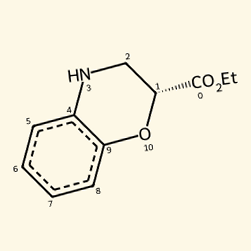 CCOC(=O)[C@H]1CNc2ccccc2O1